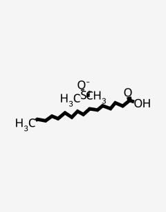 CCCCCCCCCCCCCCCC(=O)O.C[S+](C)[O-]